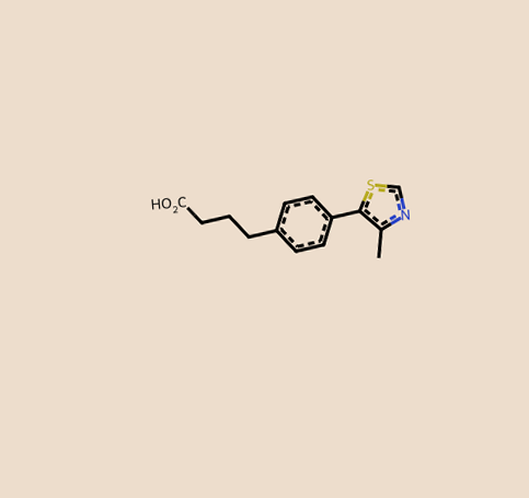 Cc1ncsc1-c1ccc(CCCC(=O)O)cc1